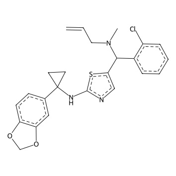 C=CCN(C)C(c1cnc(NC2(c3ccc4c(c3)OCO4)CC2)s1)c1ccccc1Cl